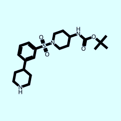 CC(C)(C)OC(=O)NC1CCN(S(=O)(=O)c2cccc(C3CCNCC3)c2)CC1